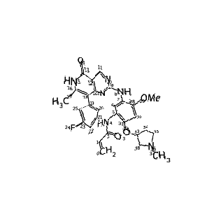 C=CC(=O)Nc1cc(Nc2ncc3c(=O)[nH]c(C)c(-c4cccc(F)c4)c3n2)c(OC)cc1OC1CCN(C)C1